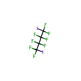 FC(F)(I)C(F)(F)C(F)(F)C(F)(F)I